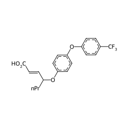 CCCC(C=CC(=O)O)Oc1ccc(Oc2ccc(C(F)(F)F)cc2)cc1